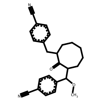 COC(c1ccc(C#N)cc1)C1CCCCCC(Cc2ccc(C#N)cc2)C1=O